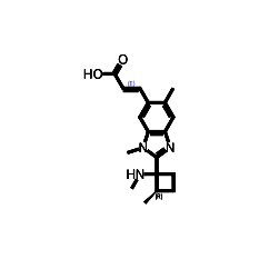 CNC1(c2nc3cc(C)c(/C=C/C(=O)O)cc3n2C)CC[C@H]1C